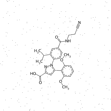 COc1cccc(OC)c1-c1cc(C(=O)O)nn1-c1ccc(C(=O)NCCC#N)cc1C(C)C